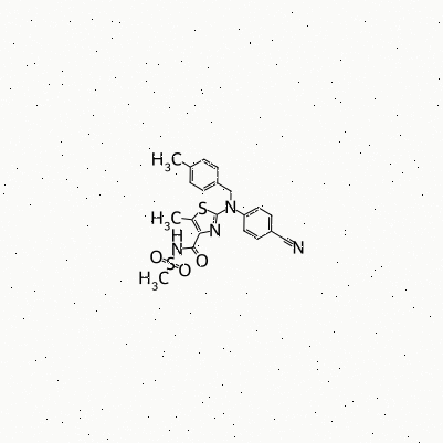 Cc1ccc(CN(c2ccc(C#N)cc2)c2nc(C(=O)NS(C)(=O)=O)c(C)s2)cc1